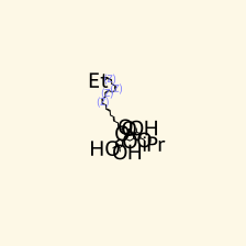 CC/C=C\C/C=C\C/C=C\C/C=C\CC=CCC=CCCC(=O)Oc1c(-c2ccc(O)c(O)c2)oc2cc(OC(C)C)cc(O)c2c1=O